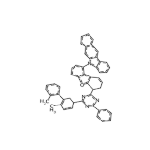 CC1=C(c2ccccc2C)CC(c2nc(-c3ccccc3)nc(C3CC=Cc4c3oc3cccc(-n5c6ccccc6c6cc7ccccc7cc65)c43)n2)C=C1